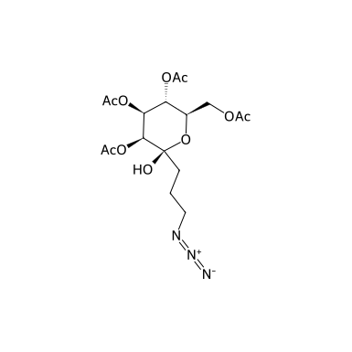 CC(=O)OC[C@H]1O[C@](O)(CCCN=[N+]=[N-])[C@@H](OC(C)=O)[C@@H](OC(C)=O)[C@@H]1OC(C)=O